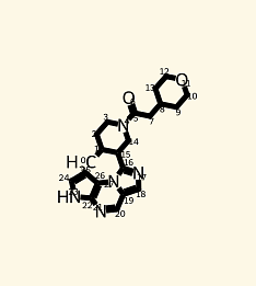 CC1CCN(C(=O)CC2CCOCC2)CC1c1ncc2cnc3[nH]ccc3n12